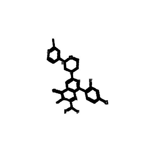 Cc1cc([C@@H]2CN(c3cc4c(=O)n(C)c(C(F)F)nc4c(-c4ccc(Cl)cc4F)n3)CCO2)ccn1